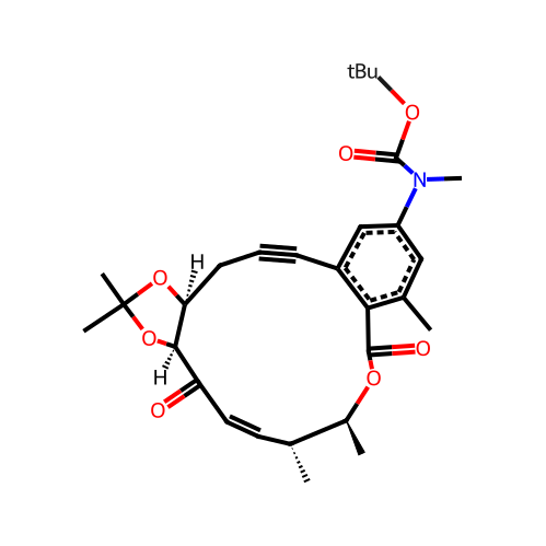 Cc1cc(N(C)C(=O)OC(C)(C)C)cc2c1C(=O)O[C@@H](C)[C@H](C)/C=C\C(=O)[C@H]1OC(C)(C)O[C@H]1CC#C2